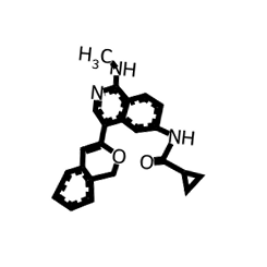 CNc1ncc(C2=Cc3ccccc3CO2)c2cc(NC(=O)C3CC3)ccc12